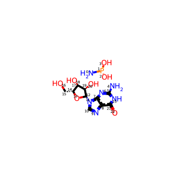 NP(O)O.Nc1nc2c(ncn2[C@@H]2O[C@H](CO)[C@@H](O)[C@H]2O)c(=O)[nH]1